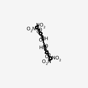 O=C(CCCCC(=O)N/N=C/c1ccc(OC(=O)c2cc([N+](=O)[O-])cc([N+](=O)[O-])c2)cc1)N/N=C/c1ccc(OC(=O)c2cc([N+](=O)[O-])cc([N+](=O)[O-])c2)cc1